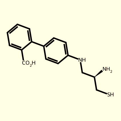 N[C@@H](CS)CNc1ccc(-c2ccccc2C(=O)O)cc1